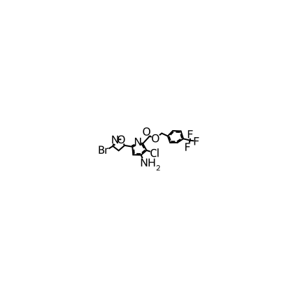 Nc1cc(C2CC(Br)=NO2)nc(C(=O)OCc2ccc(C(F)(F)F)cc2)c1Cl